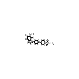 CS(=O)(=O)N1CC=C(c2ccc(-n3cnc4cc(F)c(O)c(F)c43)cc2)CC1